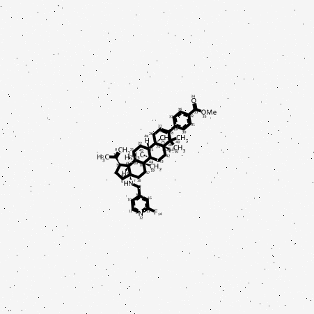 C=C(C)[C@@H]1CC[C@]2(NCc3ccnc(F)c3)CC[C@]3(C)[C@H](CC[C@@H]4[C@@]5(C)CC=C(c6ccc(C(=O)OC)cc6)C(C)(C)[C@@H]5CC[C@]43C)[C@@H]12